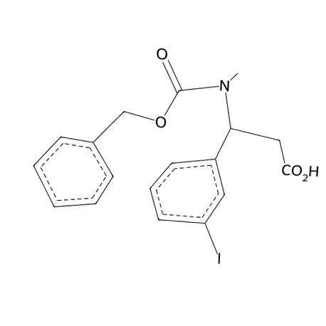 CN(C(=O)OCc1ccccc1)C(CC(=O)O)c1cccc(I)c1